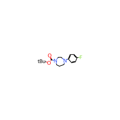 CC(C)(C)OC(=O)N1CCCN(c2ccc(F)cc2)CC1